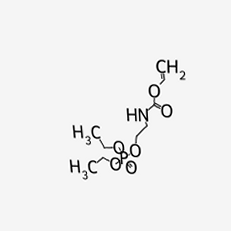 C=COC(=O)NCCOP(=O)(OCC)OCC